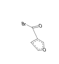 O=C(Br)c1ccoc1